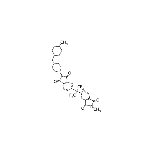 CC1CCC(CC2CCC(N3C(=O)c4ccc(C(c5ccc6c(c5)C(=O)N(C)C6=O)(C(F)(F)F)C(F)(F)F)cc4C3=O)CC2)CC1